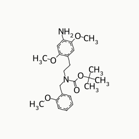 COc1cc(CCN(Cc2ccccc2OC)C(=O)OC(C)(C)C)c(OC)cc1N